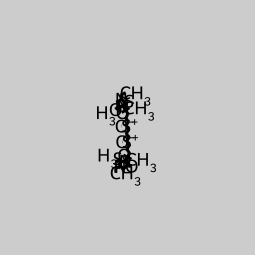 CCN1CC(=O)N(C(C)(C)CCC[S+]([O-])CCC[S+]([O-])CCCC(C)(C)N2C(=O)CN(CC)C2=S)C1=S